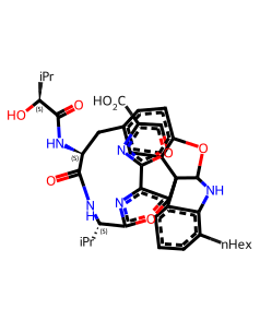 CCCCCCc1cccc2c1NC1Oc3ccc4cc3C21c1oc(nc1-c1nc(C(=O)O)co1)[C@H](C(C)C)NC(=O)[C@@H](NC(=O)[C@@H](O)C(C)C)C4